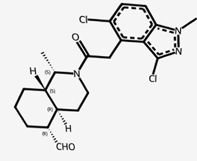 C[C@H]1[C@H]2CCC[C@@H](C=O)[C@@H]2CCN1C(=O)Cc1c(Cl)ccc2c1c(Cl)nn2C